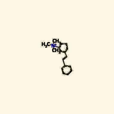 C[N+](C)(C)c1cccc(C=Cc2ccccc2)c1